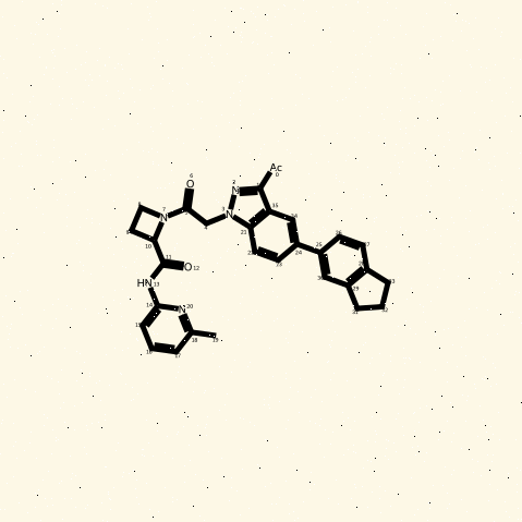 CC(=O)c1nn(CC(=O)N2CCC2C(=O)Nc2cccc(C)n2)c2ccc(-c3ccc4c(c3)CCC4)cc12